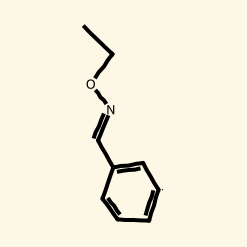 CCON=Cc1c[c]ccc1